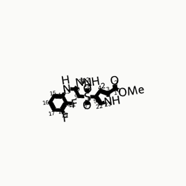 COC(=O)c1cc(S(=O)(=O)C/C(=N\N)Nc2cccc(F)c2F)c[nH]1